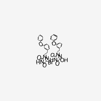 O=c1[nH]c(=O)n(CCc2cccc(Oc3ccccc3)c2)nc1Br.O=c1[nH]c(=O)n(CCc2cccc(Oc3ccccc3)c2)nc1O